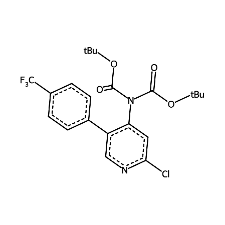 CC(C)(C)OC(=O)N(C(=O)OC(C)(C)C)c1cc(Cl)ncc1-c1ccc(C(F)(F)F)cc1